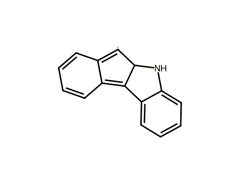 [C]1=c2ccccc2=C2c3ccccc3NC12